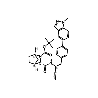 Cn1ncc2cc(-c3ccc(C[C@@H](C#N)NC(=O)[C@@H]4[C@H]5CC[C@H](C5)N4C(=O)OC(C)(C)C)cc3)ccc21